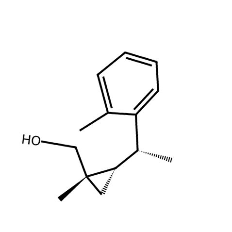 Cc1ccccc1[C@H](C)[C@@H]1C[C@]1(C)CO